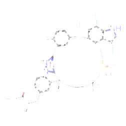 C[C@H](Cc1cccc([C@@]2(C)CCCC(C)(C)CS(=O)(=O)CCc3c(c(F)c(F)c4[nH]cc(F)c34)Oc3ccc(F)c(c3)-c3nc2nn3C)c1)C(=O)O